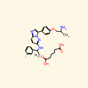 CC(N)COc1ccc(-c2cnc3ccc(NC(C)c4cccc(F)c4)nn23)cc1.O=C(O)CCCCC(=O)O